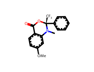 COc1ccc2c(c1)N(C)[C@](c1ccccc1)(C(F)(F)F)OC2=O